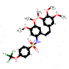 COc1cc(/C=C\c2cc(OC)c(OC)c(OC)c2)c(NS(=O)(=O)c2ccc(OC(F)(F)F)cc2)cc1OC